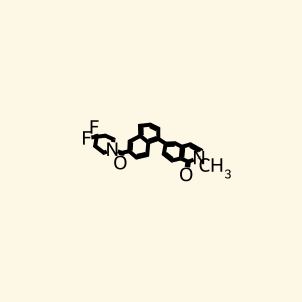 Cn1ccc2cc(-c3cccc4cc(C(=O)N5CCC(F)(F)CC5)ccc34)ccc2c1=O